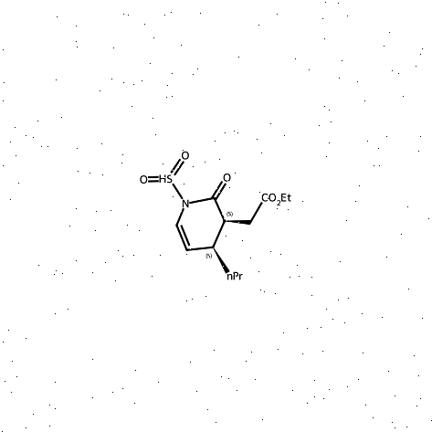 CCC[C@H]1C=CN([SH](=O)=O)C(=O)[C@H]1CC(=O)OCC